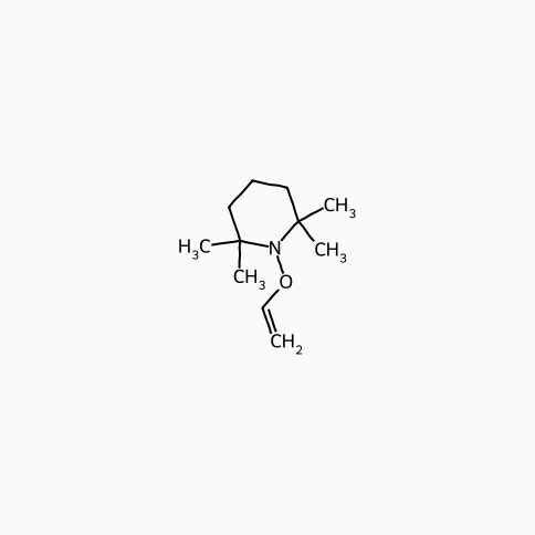 C=CON1C(C)(C)CCCC1(C)C